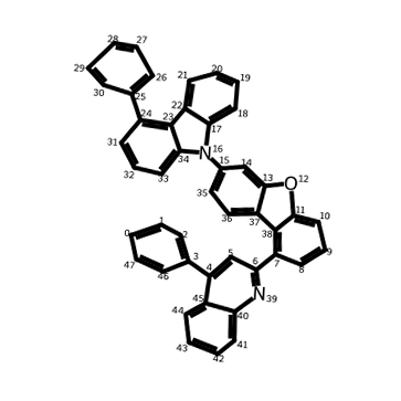 c1ccc(-c2cc(-c3cccc4oc5cc(-n6c7ccccc7c7c(-c8ccccc8)cccc76)ccc5c34)nc3ccccc23)cc1